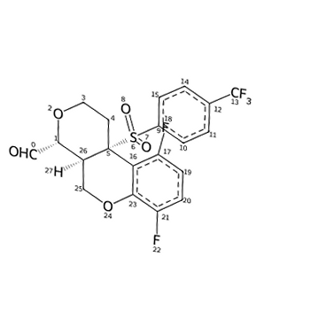 O=C[C@@H]1OCC[C@@]2(S(=O)(=O)c3ccc(C(F)(F)F)cc3)c3c(F)ccc(F)c3OC[C@@H]12